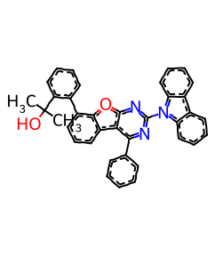 CC(C)(O)c1ccccc1-c1cccc2c1oc1nc(-n3c4ccccc4c4ccccc43)nc(-c3ccccc3)c12